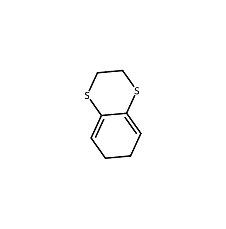 C1=C2SCCSC2=CCC1